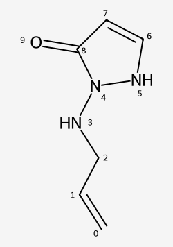 C=CCNn1[nH]ccc1=O